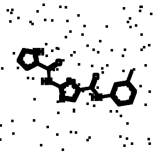 Cc1cccc(NC(=O)c2cnc(NC(=O)c3ccc[nH]3)[se]2)c1